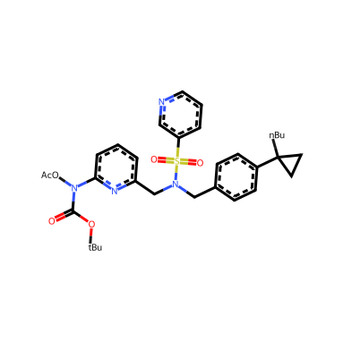 CCCCC1(c2ccc(CN(Cc3cccc(N(OC(C)=O)C(=O)OC(C)(C)C)n3)S(=O)(=O)c3cccnc3)cc2)CC1